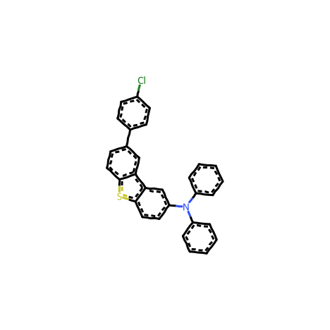 Clc1ccc(-c2ccc3sc4ccc(N(c5ccccc5)c5ccccc5)cc4c3c2)cc1